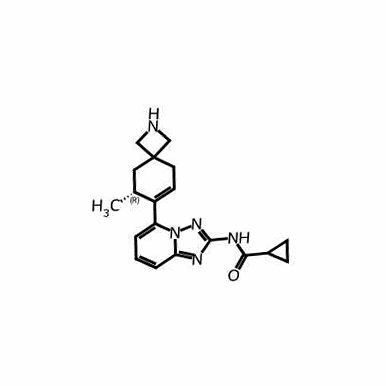 C[C@@H]1CC2(CC=C1c1cccc3nc(NC(=O)C4CC4)nn13)CNC2